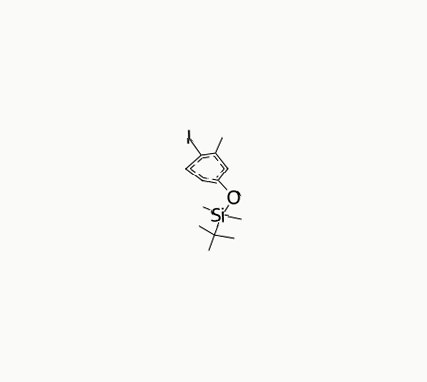 Cc1cc(O[Si](C)(C)C(C)(C)C)ccc1I